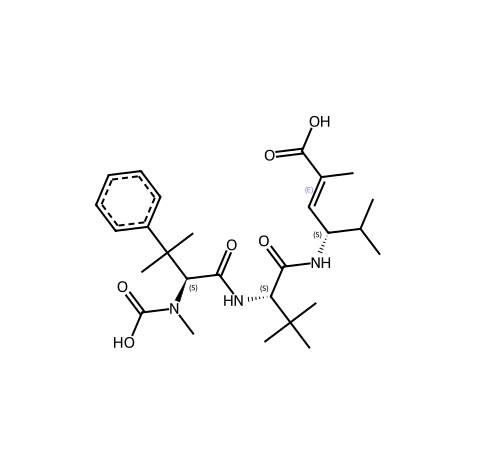 C/C(=C\[C@@H](NC(=O)[C@@H](NC(=O)[C@@H](N(C)C(=O)O)C(C)(C)c1ccccc1)C(C)(C)C)C(C)C)C(=O)O